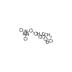 CC1(C)c2cc(-c3ccc(-c4cccc(-c5nc(-c6ccccc6)nc(-c6ccccc6)n5)c4)cc3)ccc2-c2cc3oc4ccccc4c3cc21